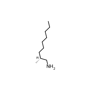 CCCCCCC[C@@H](C)CN